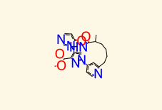 COC(=O)c1nn2c(c1-n1cnccc1=O)NC(=O)C(C)CCCCc1cc-2ccn1